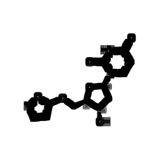 O=c1ccn([C@H]2C[C@H](O)[C@@H](COc3ccno3)O2)c(=O)[nH]1